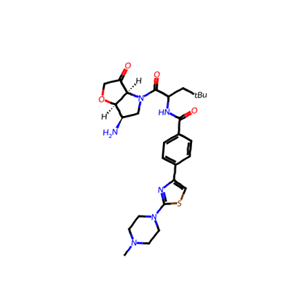 CN1CCN(c2nc(-c3ccc(C(=O)NC(CC(C)(C)C)C(=O)N4C[C@@H](N)[C@H]5OCC(=O)[C@H]54)cc3)cs2)CC1